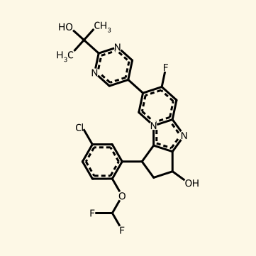 CC(C)(O)c1ncc(-c2cn3c4c(nc3cc2F)C(O)CC4c2cc(Cl)ccc2OC(F)F)cn1